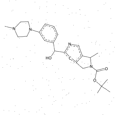 CC1c2cnc(C(O)c3cccc(N4CCN(C)CC4)c3)cc2CN1C(=O)OC(C)(C)C